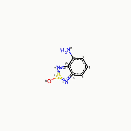 Nc1cccc2n[s+]([O-])nc12